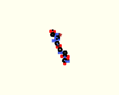 O=C1CCC(N2C(=O)c3cccc(NC4CCC(S(=O)(=O)N5CCC(Nc6ncc(Br)c(Nc7cccc8c7OCO8)n6)CC5)CC4)c3C2=O)C(=O)N1